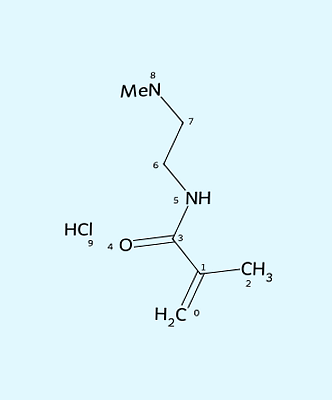 C=C(C)C(=O)NCCNC.Cl